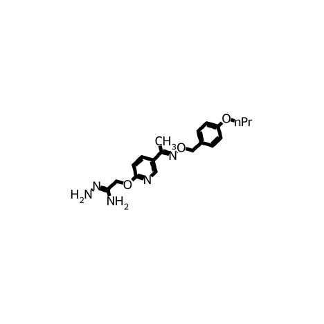 CCCOc1ccc(CO/N=C(\C)c2ccc(OC/C(N)=N/N)nc2)cc1